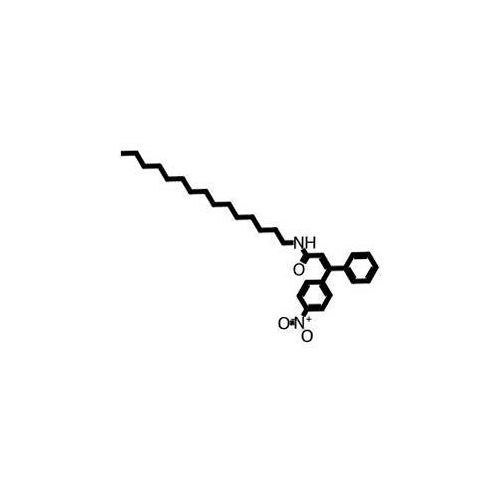 CCCCCCCCCCCCCCCNC(=O)C=C(c1ccccc1)c1ccc([N+](=O)[O-])cc1